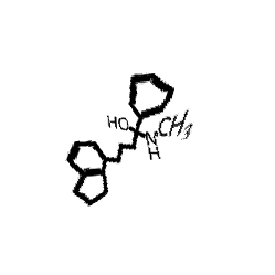 CNC(O)(CCCc1cccc2c1CCC2)c1ccccc1